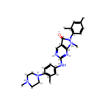 Cc1ccc(-n2c(=O)c3cnc(Nc4ccc(N5CCN(C)CC5)c(C)c4)nc3n2C)c(C)c1